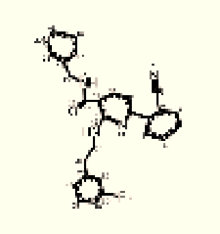 N#Cc1ccccc1-c1ccc(C(=O)NCc2cccnc2)c(NCCc2cccc(F)c2)n1